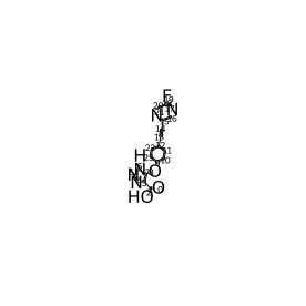 O=C(O)c1nn[nH]c1Oc1ccc(C#Cc2cnc(F)cn2)cc1